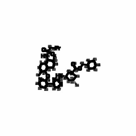 Cc1ccc2c(NS(=O)(=O)CC(C)C)c(F)ccc2c1Oc1ncccc1-c1ccnc(N[C@H]2C[C@@H](C)CN(C(=O)OCc3ccccc3)C2)n1